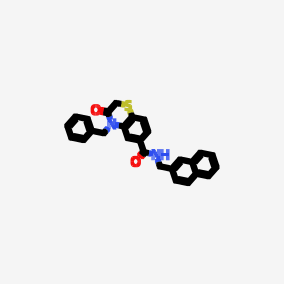 O=C(NCc1ccc2ccccc2c1)c1ccc2c(c1)N(Cc1ccccc1)C(=O)CS2